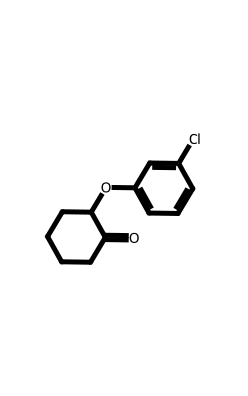 O=C1CCCCC1Oc1cccc(Cl)c1